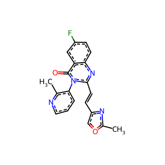 Cc1nc(C=Cc2nc3ccc(F)cc3c(=O)n2-c2cccnc2C)co1